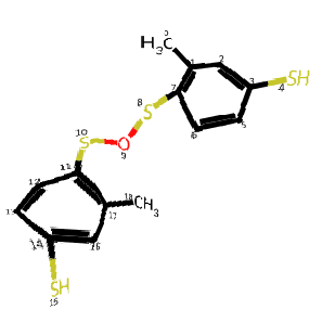 Cc1cc(S)ccc1SOSc1ccc(S)cc1C